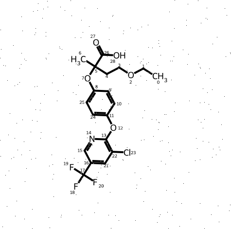 CCOCCC(C)(Oc1ccc(Oc2ncc(C(F)(F)F)cc2Cl)cc1)C(=O)O